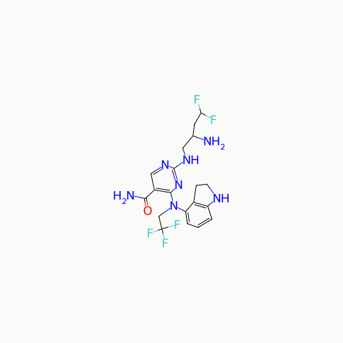 NC(=O)c1cnc(NCC(N)CC(F)F)nc1N(CC(F)(F)F)c1cccc2c1CCN2